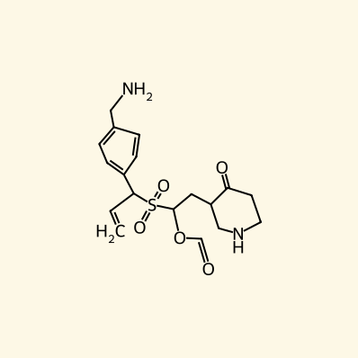 C=CC(c1ccc(CN)cc1)S(=O)(=O)C(CC1CNCCC1=O)OC=O